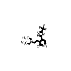 CCN(CC)CCc1c(-c2noc(C(F)(F)F)n2)cc[nH]c1=O